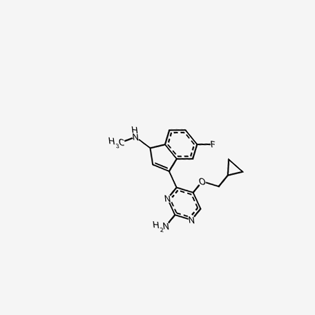 CNC1C=C(c2nc(N)ncc2OCC2CC2)c2cc(F)ccc21